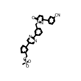 CS(=O)(=O)OCc1cccc(-c2cnc(-c3cccc(Cn4nc(-c5cccc(C#N)c5)ccc4=O)c3)nc2)c1